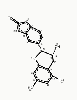 O=c1oc2ccc([C@H]3Oc4cc(O)cc(O)c4C[C@H]3O)cc2o1